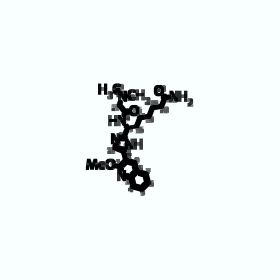 COc1nc2ccccc2cc1-c1cnc([C@H](CCCCCC(N)=O)NC(=O)CN(C)C)[nH]1